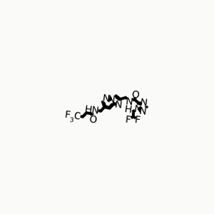 O=C(CCC(F)(F)F)NCc1cnn2cc(CNC(=O)c3ncnn3CC(F)F)nc2c1